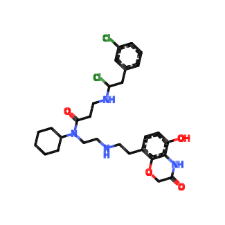 O=C1COc2c(CCNCCN(C(=O)CCNC(Cl)Cc3cccc(Cl)c3)C3CCCCC3)ccc(O)c2N1